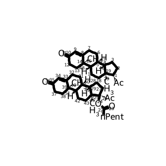 CC(=O)[C@H]1CC[C@H]2[C@@H]3CCC4=CC(=O)CC[C@]4(C)[C@H]3CC[C@]12C.CCCCCC(=O)O[C@]1(C(C)=O)CC[C@H]2[C@@H]3CCC4=CC(=O)CC[C@]4(C)[C@H]3CC[C@@]21C